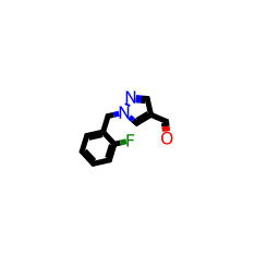 O=Cc1cnn(Cc2ccccc2F)c1